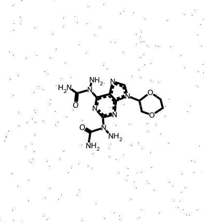 NC(=O)N(N)c1nc(N(N)C(N)=O)c2ncn(C3COCCO3)c2n1